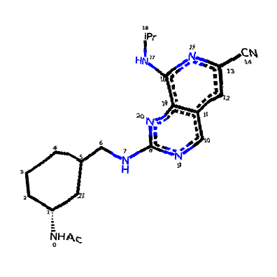 CC(=O)N[C@@H]1CCCC(CNc2ncc3cc(C#N)nc(NC(C)C)c3n2)C1